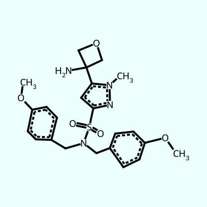 COc1ccc(CN(Cc2ccc(OC)cc2)S(=O)(=O)c2cc(C3(N)COC3)n(C)n2)cc1